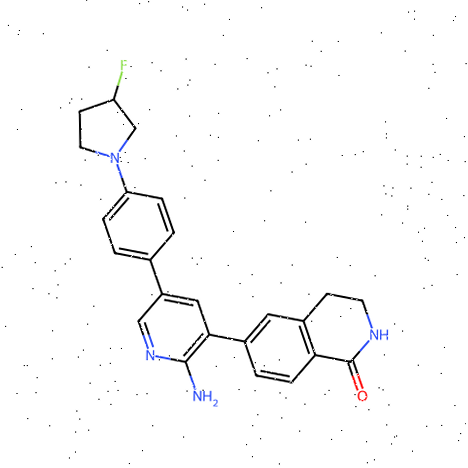 Nc1ncc(-c2ccc(N3CCC(F)C3)cc2)cc1-c1ccc2c(c1)CCNC2=O